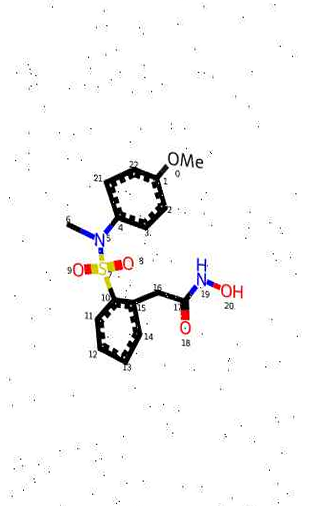 COc1ccc(N(C)S(=O)(=O)c2ccccc2CC(=O)NO)cc1